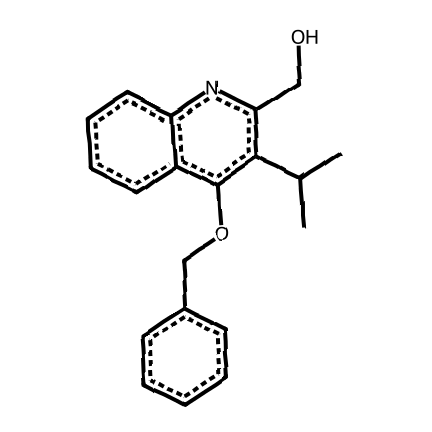 CC(C)c1c(CO)nc2ccccc2c1OCc1ccccc1